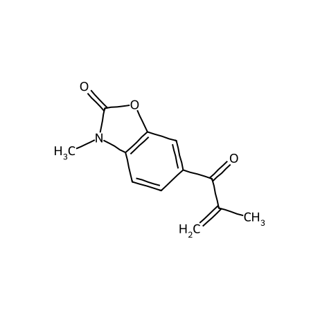 C=C(C)C(=O)c1ccc2c(c1)oc(=O)n2C